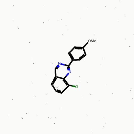 COc1ccc(-c2ncc3cccc(Cl)c3n2)cc1